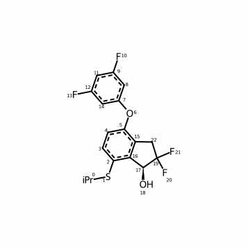 CC(C)Sc1ccc(Oc2cc(F)cc(F)c2)c2c1[C@H](O)C(F)(F)C2